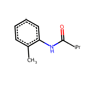 Cc1cc[c]cc1NC(=O)C(C)C